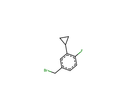 Fc1ccc(CBr)cc1C1CC1